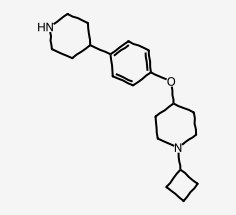 c1cc(C2CCNCC2)ccc1OC1CCN(C2CCC2)CC1